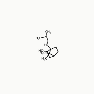 CC(C)CNC12CCC(CC1O)C2(C)C